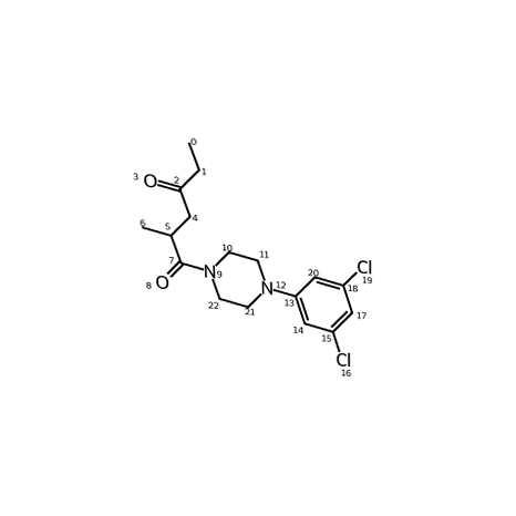 CCC(=O)CC(C)C(=O)N1CCN(c2cc(Cl)cc(Cl)c2)CC1